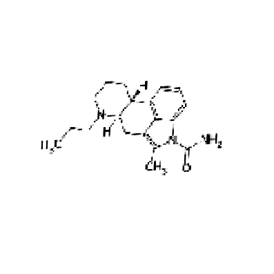 CCCN1CCC[C@@H]2c3cccc4c3c(c(C)n4C(N)=O)C[C@H]21